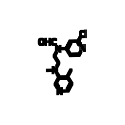 Cc1ccncc1N(C)CCN(C=O)c1ccnc(Cl)c1